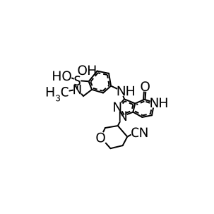 CN1Cc2cc(Nc3nn(C4COCCC4C#N)c4cc[nH]c(=O)c34)ccc2S1(O)O